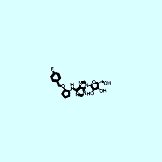 OC[C@H]1O[C@@H](n2cnc3c(N[C@@H]4CCC[C@H]4OCc4ccc(F)cc4)ncnc32)[C@H](O)[C@@H]1O